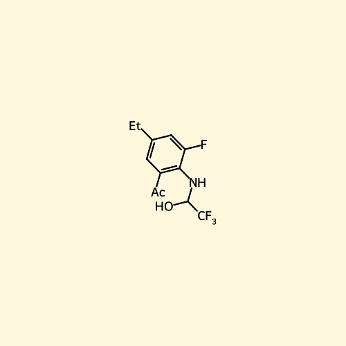 CCc1cc(F)c(NC(O)C(F)(F)F)c(C(C)=O)c1